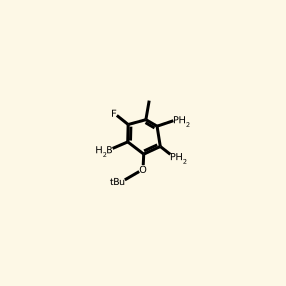 Bc1c(F)c(C)c(P)c(P)c1OC(C)(C)C